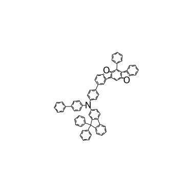 c1ccc(-c2ccc(N(c3ccc(-c4ccc5oc6c(-c7ccccc7)c7c(cc6c5c4)oc4ccccc47)cc3)c3ccc4c(c3)C(c3ccccc3)(c3ccccc3)c3ccccc3-4)cc2)cc1